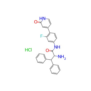 Cl.NC(C(=O)Nc1ccc(-c2cc[nH]c(=O)c2)c(F)c1)C(c1ccccc1)c1ccccc1